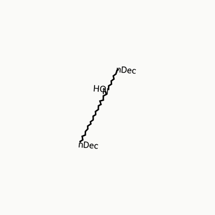 CCCCCCCCCCCCCCCCCCCCCCCCCCCCCCN(O)CCCCCCCCCCCCCCCCCC